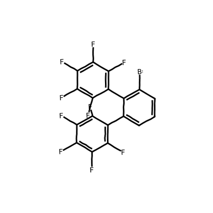 [B]c1cccc(-c2c(F)c(F)c(F)c(F)c2F)c1-c1c(F)c(F)c(F)c(F)c1F